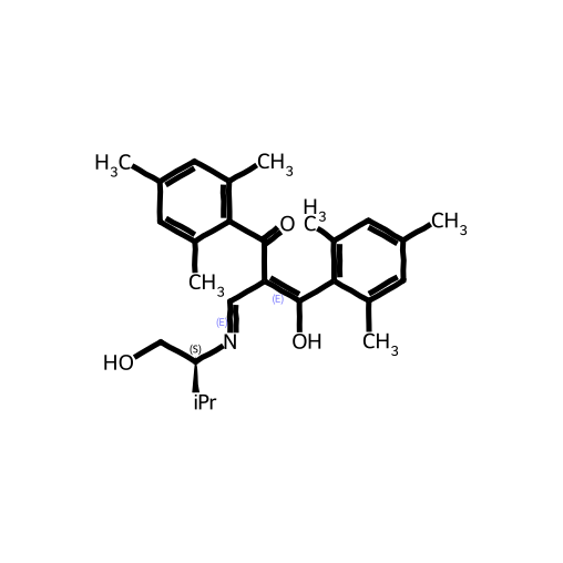 Cc1cc(C)c(C(=O)C(/C=N/[C@H](CO)C(C)C)=C(/O)c2c(C)cc(C)cc2C)c(C)c1